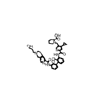 O=C(Nc1cccc(-c2cccc(NC(=O)c3cc(C4CC4)c(CN4CCCC[C@H]4C(=O)O)cn3)c2Cl)c1Cl)c1cc2c(cn1)CN(CCCO)CC2